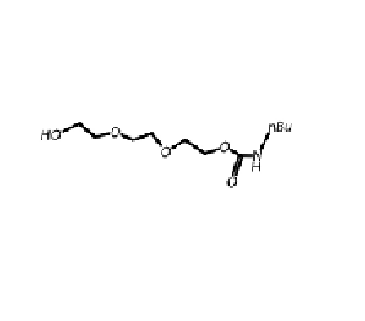 CCCCNC(=O)OCCOCCOCCO